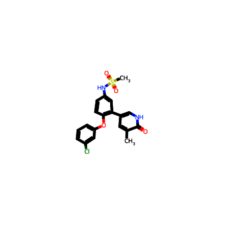 Cc1cc(-c2cc(NS(C)(=O)=O)ccc2Oc2cccc(Cl)c2)c[nH]c1=O